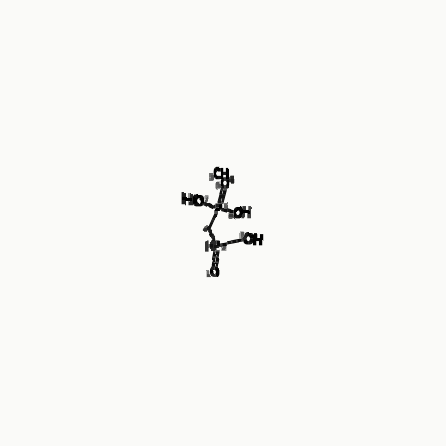 C.O=[PH](O)CP(=O)(O)O